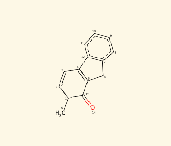 CC1C=CC2=C(Cc3ccccc32)C1=O